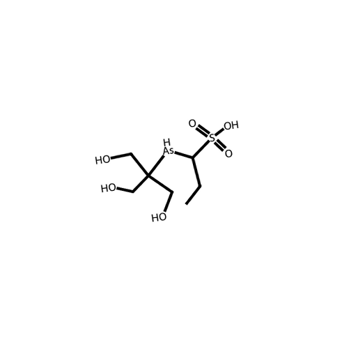 CCC([AsH]C(CO)(CO)CO)S(=O)(=O)O